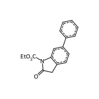 CCOC(=O)N1C(=O)Cc2ccc(-c3ccccc3)cc21